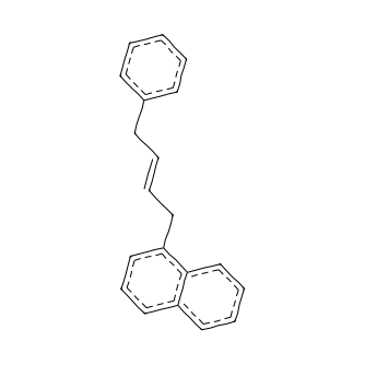 C(=CCc1cccc2ccccc12)Cc1ccccc1